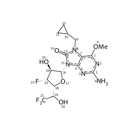 COc1nc(N)nc2c1n(CC1CC1)c(=O)n2[C@@H]1O[C@H](C(O)C(F)(F)F)[C@H](F)[C@H]1O